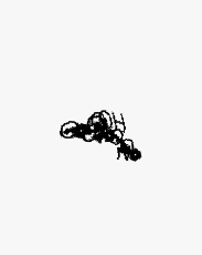 COc1ccc(OC(=O)N(CC(=O)O)C2(c3ccc(OCCc4oc(-c5ccccc5)nc4C)cc3)CC2)cc1